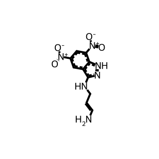 NC=CCNc1n[nH]c2c([N+](=O)[O-])cc([N+](=O)[O-])cc12